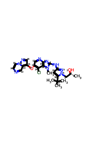 C[C@@H](O)Cn1nc(Nc2nc3ncc(Oc4cnn5ccncc45)c(Cl)c3n2C)cc1C(C)(C)C